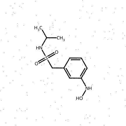 CC(C)NS(=O)(=O)Cc1cccc(NO)c1